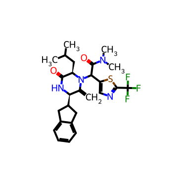 C=C1[C@@H](C2Cc3ccccc3C2)NC(=O)[C@@H](CC(C)C)N1C(C(=O)N(C)C)c1cnc(C(F)(F)F)s1